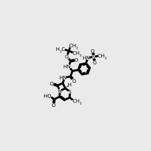 CC1C=C(C(=O)O)N2C(=O)C(NC(=O)C(NC(=O)OC(C)(C)C)c3cccc(NS(C)(=O)=O)c3)[C@H]2S1